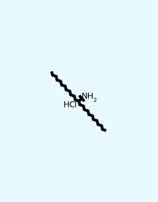 CCCCCCCCCCCCC(CCCCCCCCCCCC)C(C)(C)N.Cl